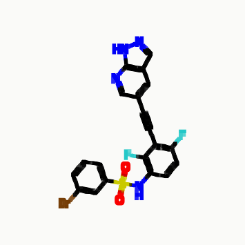 O=S(=O)(Nc1ccc(F)c(C#Cc2cnc3[nH]ncc3c2)c1F)c1cccc(Br)c1